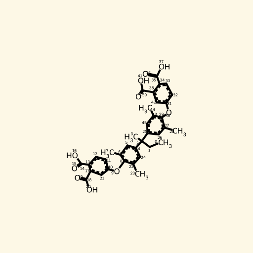 CCC(C)(c1cc(C)c(Oc2ccc(C(=O)O)c(C(=O)O)c2)c(C)c1)c1cc(C)c(Oc2ccc(C(=O)O)c(C(=O)O)c2)c(C)c1